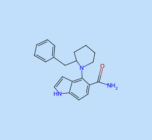 NC(=O)c1ccc2[nH]ccc2c1N1CCCCC1Cc1ccccc1